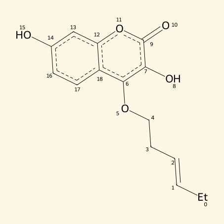 CCC=CCCOc1c(O)c(=O)oc2cc(O)ccc12